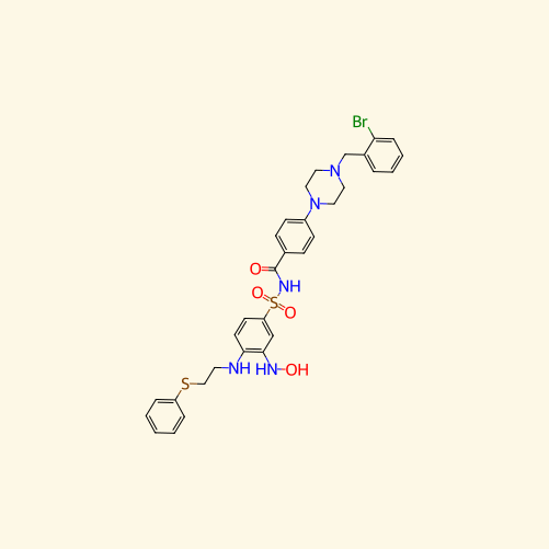 O=C(NS(=O)(=O)c1ccc(NCCSc2ccccc2)c(NO)c1)c1ccc(N2CCN(Cc3ccccc3Br)CC2)cc1